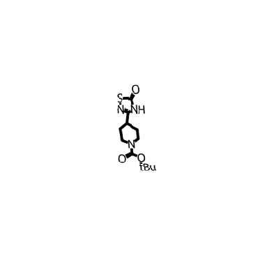 CC(C)(C)OC(=O)N1CCC(c2nsc(=O)[nH]2)CC1